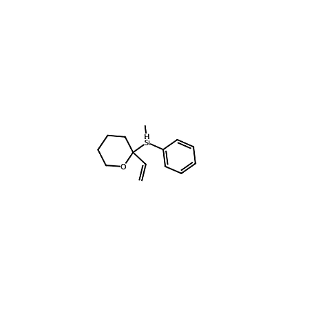 C=CC1([SiH](C)c2ccccc2)CCCCO1